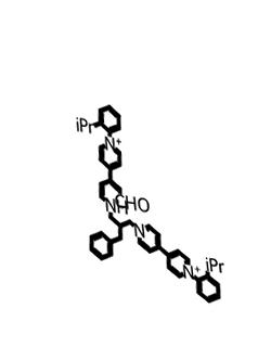 CC(C)c1ccccc1-[n+]1ccc(C(/C=C\NCC(Cc2ccccc2)C[n+]2ccc(-c3cc[n+](-c4ccccc4C(C)C)cc3)cc2)=C/C=O)cc1